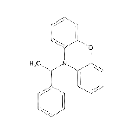 CC(c1ccccc1)N1c2ccccc2Oc2ccccc21